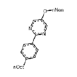 CCCCCCCCCOc1cnc(-c2ccc(CCCCCCCC)cc2)nc1